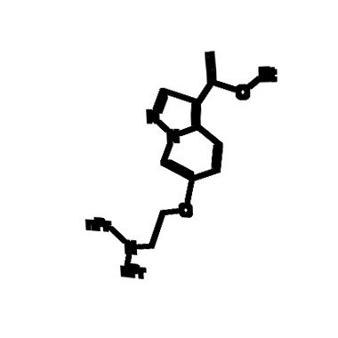 C=C(OCC)c1cnn2cc(OCCN(CCC)CCC)ccc12